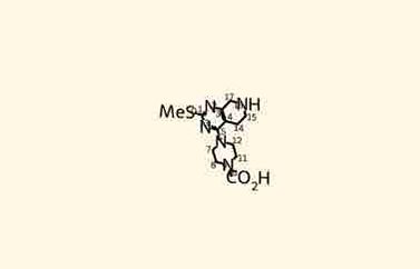 CSc1nc2c(c(N3CCN(C(=O)O)CC3)n1)CCNC2